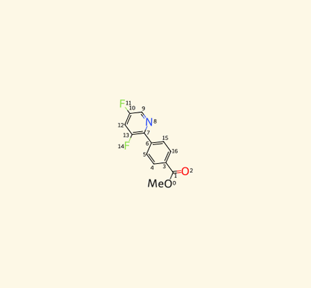 COC(=O)c1ccc(-c2ncc(F)cc2F)cc1